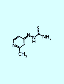 CC1=NC=CC(=NNC(N)=S)C1